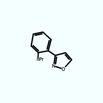 CCCc1ccccc1-c1ccon1